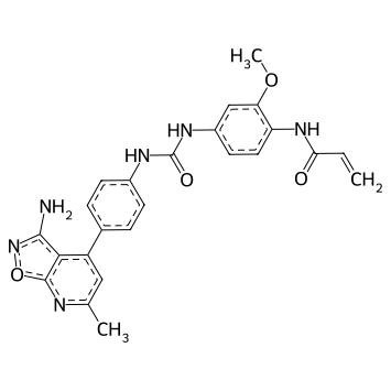 C=CC(=O)Nc1ccc(NC(=O)Nc2ccc(-c3cc(C)nc4onc(N)c34)cc2)cc1OC